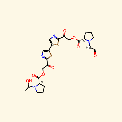 CB(O)N1CCC[C@H]1C(=O)OCC(=O)c1ncc(-c2cnc(C(=O)COC(=O)[C@@H]3CCCN3BC=O)s2)s1